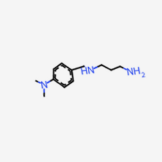 CN(C)c1ccc(CNCCCN)cc1